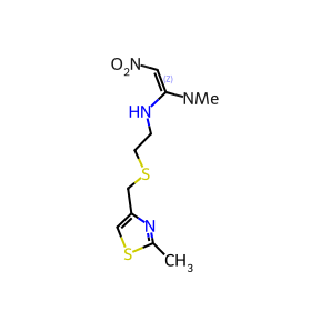 CN/C(=C/[N+](=O)[O-])NCCSCc1csc(C)n1